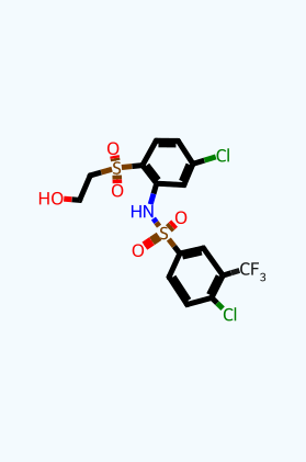 O=S(=O)(CCO)c1ccc(Cl)cc1NS(=O)(=O)c1ccc(Cl)c(C(F)(F)F)c1